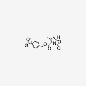 CC1=C(C(=O)OCc2ccc([N+](=O)[O-])cc2)N2C(=O)O[C@@H]2S1